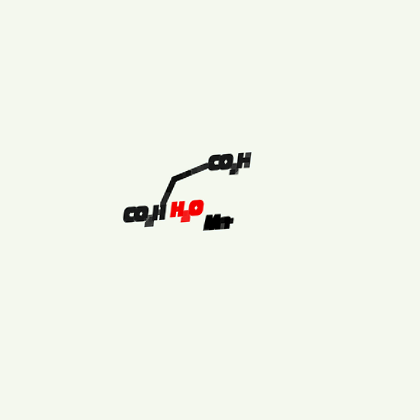 O.O=C(O)CC(=O)O.[Mn]